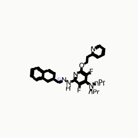 CCCN(CCC)c1c(F)c(N/N=C/c2ccc3ccccc3c2)nc(OCCc2ccccn2)c1F